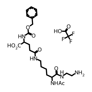 CC(=O)NC(CCCCNC(=O)CCC(NC(=O)OCc1ccccc1)C(=O)O)C(=O)NCCN.O=C(O)C(F)(F)F